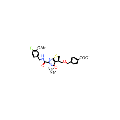 COc1cc(CNC(=O)c2nc3scc(COCc4ccc(C(=O)[O-])cc4)c3c(=O)[n-]2)ccc1F.[Na+].[Na+]